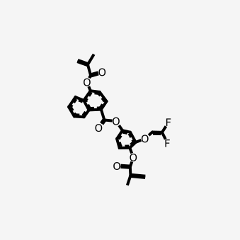 C=C(C)C(=O)Oc1ccc(OC(=O)c2ccc(OC(=O)C(=C)C)c3ccccc23)cc1OC=C(F)F